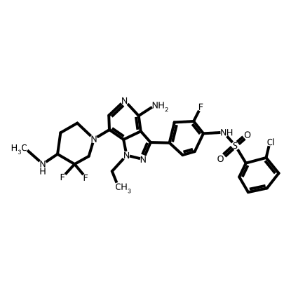 CCn1nc(-c2ccc(NS(=O)(=O)c3ccccc3Cl)c(F)c2)c2c(N)ncc(N3CCC(NC)C(F)(F)C3)c21